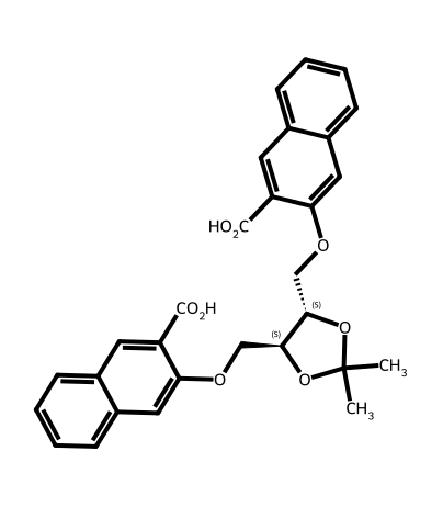 CC1(C)O[C@@H](COc2cc3ccccc3cc2C(=O)O)[C@H](COc2cc3ccccc3cc2C(=O)O)O1